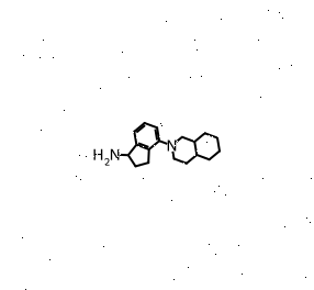 NC1CCc2c1cccc2N1CCC2CCCCC2C1